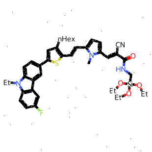 CCCCCCc1cc(-c2ccc3c(c2)c2cc(F)ccc2n3CC)sc1/C=C/c1ccc(/C=C(\C#N)C(=O)NC[Si](OCC)(OCC)OCC)n1C